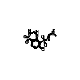 CN(C)C=NS(=O)(=O)c1c(Cl)ccc2c1NCNS2(=O)=O